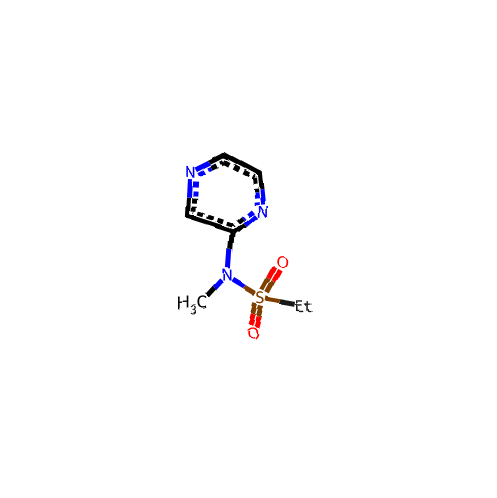 CCS(=O)(=O)N(C)c1cnccn1